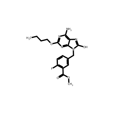 CCCCOc1nc(N)c2nc(O)n(Cc3ccc(F)c(C(=O)OC)c3)c2n1